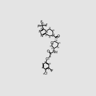 O=C(COc1ccc(Cl)c(F)c1)N[C@@H]1CC[C@@H](C(=O)N2CCn3c(nnc3C(F)(F)F)C2)OC1